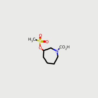 CS(=O)(=O)OC1CCCCN(C(=O)O)C1